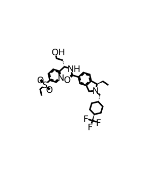 CC[C@@H]1c2ccc(C(=O)N[C@@H](CCO)c3ccc(S(=O)(=O)CC)cn3)cc2CN1C[C@H]1CC[C@H](C(F)(F)F)CC1